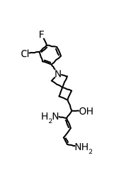 N/C=C\C=C(/N)C(O)C1CC2(C1)CN(c1ccc(F)c(Cl)c1)C2